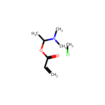 C=CC(=O)OC(C)N(C)C.CCl